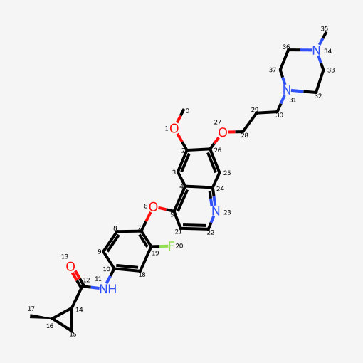 COc1cc2c(Oc3ccc(NC(=O)C4C[C@H]4C)cc3F)ccnc2cc1OCCCN1CCN(C)CC1